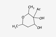 CC(=O)C1(O)C(O)CC(C)OC1C